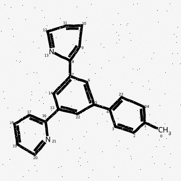 Cc1ccc(-c2cc(-c3ccccn3)cc(-c3ccccn3)c2)cc1